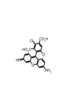 N=c1ccc2c(-c3c(Cl)cc(C(=O)O)c(Cl)c3C(=O)O)c3ccc(N)cc3oc-2c1